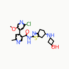 COc1cnc(Cl)cc1-c1cc(C)ncc1C(=O)Nc1nc2c(s1)CC(NC1CC(O)C1)CC2